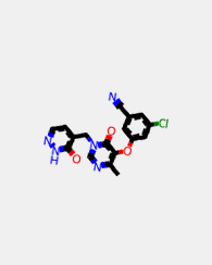 Cc1ncn(Cc2ccn[nH]c2=O)c(=O)c1Oc1cc(Cl)cc(C#N)c1